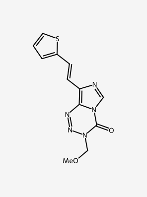 COCn1nnc2c(C=Cc3cccs3)ncn2c1=O